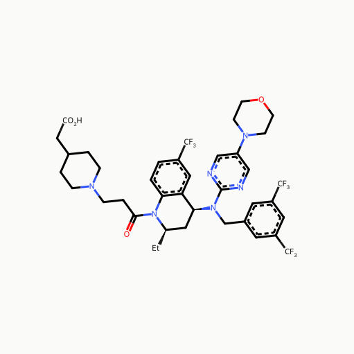 CC[C@@H]1C[C@H](N(Cc2cc(C(F)(F)F)cc(C(F)(F)F)c2)c2ncc(N3CCOCC3)cn2)c2cc(C(F)(F)F)ccc2N1C(=O)CCN1CCC(CC(=O)O)CC1